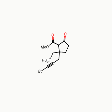 CCC#CCC1(CC(=O)O)CCC(=O)C1C(=O)OC